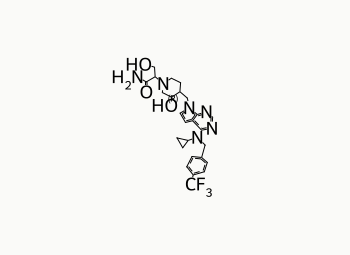 NC(=O)C(CO)N1CCC(Cn2ccc3c(N(Cc4ccc(C(F)(F)F)cc4)C4CC4)ncnc32)[C@@H](O)C1